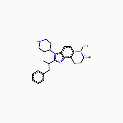 CC(Cc1ccccc1)c1nc2c3c(ccc2n1C1CCNCC1)N(C(=O)O)[C@@H](C)CC3